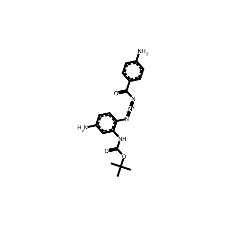 CC(C)(C)OC(=O)Nc1cc(N)ccc1N=[N+]=NC(=O)c1ccc(N)cc1